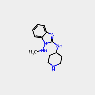 CNn1c(NC2CCNCC2)nc2ccccc21